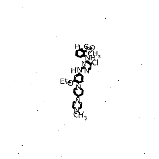 CCOc1cc(Nc2ncc(Cl)c(Nc3ccccc3P(C)(C)=O)n2)ccc1N1CCC(N2CCN(C)CC2)CC1